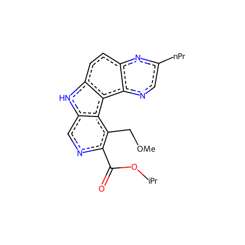 CCCc1cnc2c(ccc3[nH]c4cnc(C(=O)OC(C)C)c(COC)c4c32)n1